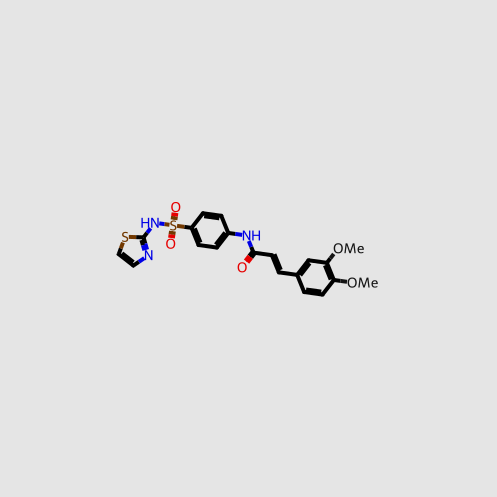 COc1ccc(C=CC(=O)Nc2ccc(S(=O)(=O)Nc3nccs3)cc2)cc1OC